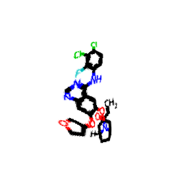 C=CC(=O)N1C2CC[C@@H]1C[C@@H](Oc1cc3c(Nc4ccc(Cl)c(Cl)c4F)ncnc3cc1OC1CCOC1)C2